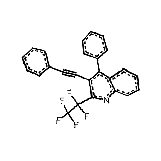 FC(F)(F)C(F)(F)c1nc2ccccc2c(-c2ccccc2)c1C#Cc1ccccc1